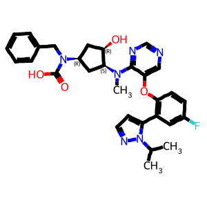 CC(C)n1nccc1-c1cc(F)ccc1Oc1cncnc1N(C)[C@H]1C[C@@H](N(Cc2ccccc2)C(=O)O)C[C@H]1O